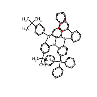 CC(C)(C)c1ccc(N2c3ccc(C(C)(C)C)cc3B3c4cc([Si](c5ccccc5)(c5ccccc5)c5ccccc5)ccc4N(c4ccccc4-c4ccccc4)c4cc(-c5ccccc5)cc2c43)cc1